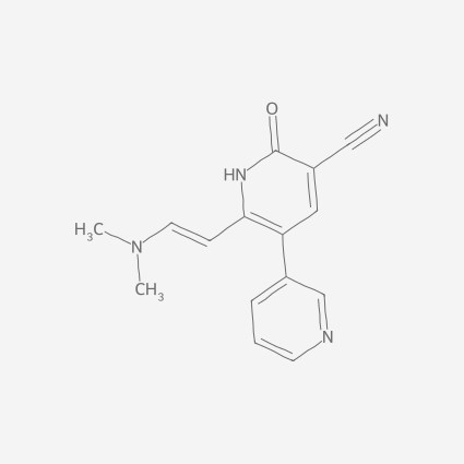 CN(C)C=Cc1[nH]c(=O)c(C#N)cc1-c1cccnc1